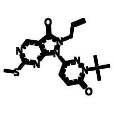 C=CCn1c(=O)c2cnc(SC)nc2n1-c1ccc(=O)n(C(C)(C)C)n1